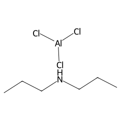 CCCNCCC.[Cl][Al]([Cl])[Cl]